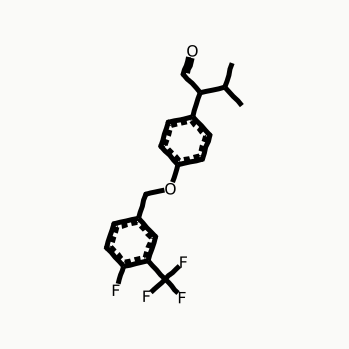 CC(C)C(C=O)c1ccc(OCc2ccc(F)c(C(F)(F)F)c2)cc1